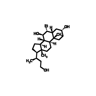 CC[C@H]1[C@H](O)[C@@H]2[C@H](CC[C@]3(C)[C@@H]([C@H](C)CCO)CC[C@@H]23)[C@@]2(C)CC[C@@H](O)C[C@@H]12